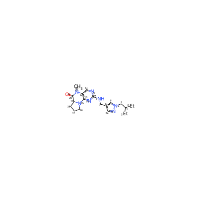 CCC(CC)Cn1cc(CNc2ncc3c(n2)N2CCCC2C(=O)N3C)cn1